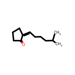 CC(C)CCCC=C1CCCC1=O